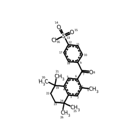 Cc1cc2c(cc1C(=O)c1ccc(S(=O)(=O)Cl)cc1)C(C)(C)CCC2(C)C